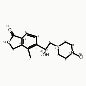 Cc1c([C@@H](O)CN2CCN(Cl)CC2)ccc2c1COC2=O